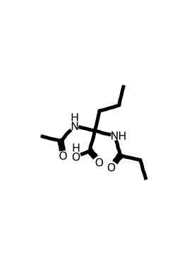 CCCC(NC(C)=O)(NC(=O)CC)C(=O)O